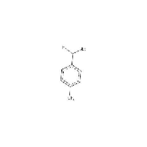 CCC(F)c1ccc(C(F)(F)F)cc1